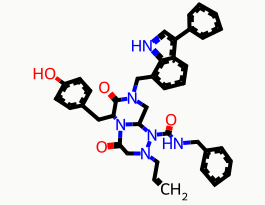 C=CCN1CC(=O)N2C(Cc3ccc(O)cc3)C(=O)N(Cc3cccc4c(-c5ccccc5)c[nH]c34)CC2N1C(=O)NCc1ccccc1